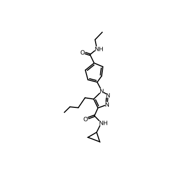 CCCCc1c(C(=O)NC2CC2)nnn1-c1ccc(C(=O)NCC)cc1